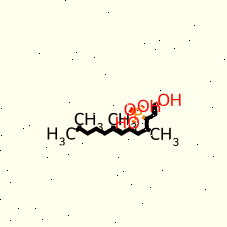 C/C(=C\CCC(C)C(/C=C/O)P(=O)(O)O)CCCC(C)C